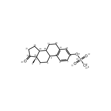 C[C@]12CCC3c4ccc(OS(=O)(=O)C(F)(F)F)cc4CCC3C1CCC2=O